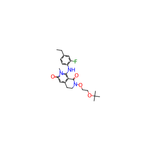 CCc1ccc(Nc2c3c(cc(=O)n2C)CCN(OCCOC(C)(C)C)C3=O)c(F)c1